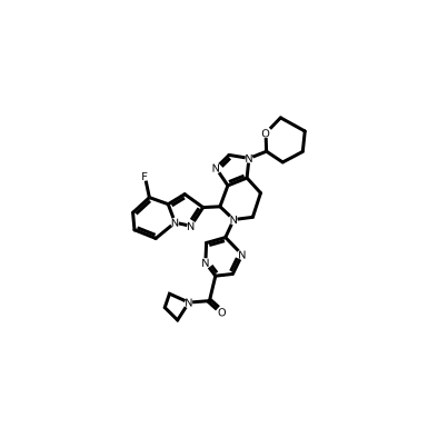 O=C(c1cnc(N2CCc3c(ncn3C3CCCCO3)C2c2cc3c(F)cccn3n2)cn1)N1CCC1